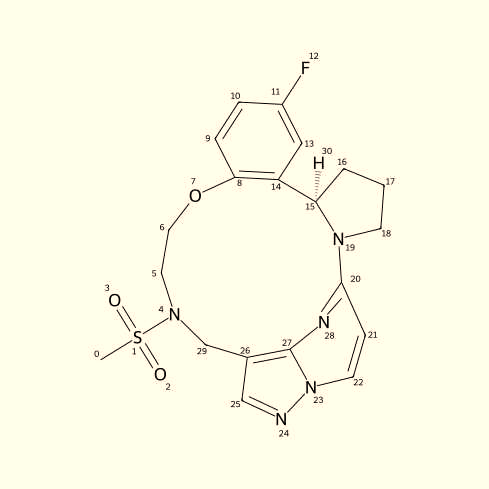 CS(=O)(=O)N1CCOc2ccc(F)cc2[C@H]2CCCN2c2ccn3ncc(c3n2)C1